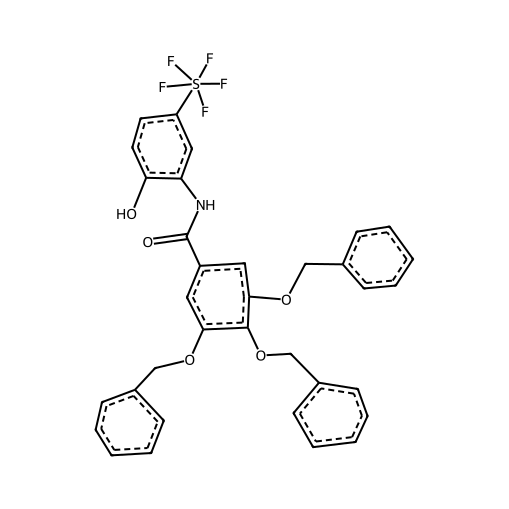 O=C(Nc1cc(S(F)(F)(F)(F)F)ccc1O)c1cc(OCc2ccccc2)c(OCc2ccccc2)c(OCc2ccccc2)c1